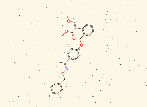 CO/C=C(\C(=O)OC)c1ccccc1COc1ccc(/C(C)=N/OCc2ccccc2)cc1